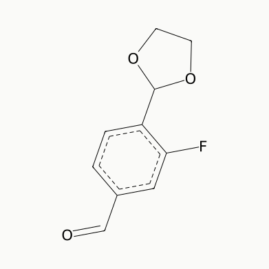 O=Cc1ccc(C2OCCO2)c(F)c1